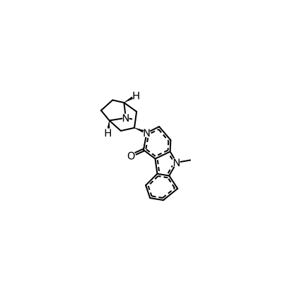 CN1[C@@H]2CC[C@H]1C[C@H](n1ccc3c(c1=O)c1ccccc1n3C)C2